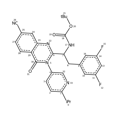 CC(C)c1ccc(-n2c(C(Cc3cc(F)cc(F)c3)NC(=O)OC(C)(C)C)nc3cc(C#N)ccc3c2=O)cn1